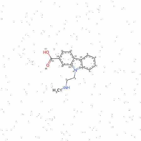 CNCCn1c2ccccc2c2ccc(C(=O)O)cc21